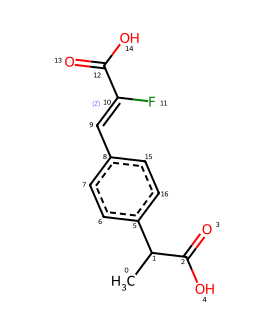 CC(C(=O)O)c1ccc(/C=C(\F)C(=O)O)cc1